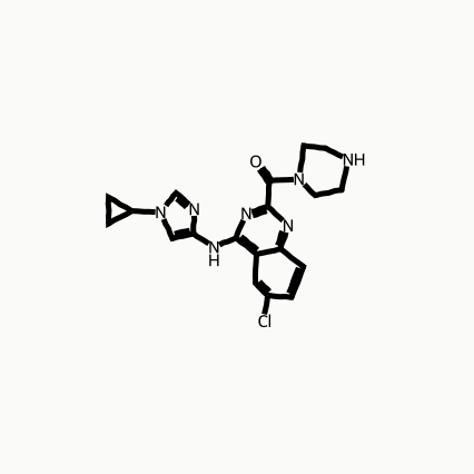 O=C(c1nc(Nc2cn(C3CC3)cn2)c2cc(Cl)ccc2n1)N1CCNCC1